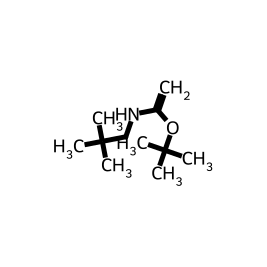 C=C(NCC(C)(C)C)OC(C)(C)C